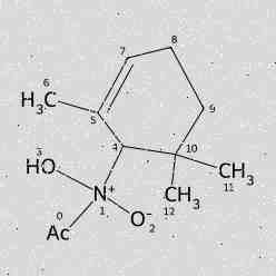 CC(=O)[N+]([O-])(O)C1C(C)=CCCC1(C)C